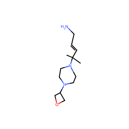 CC(C)(C=CCN)N1CCN(C2COC2)CC1